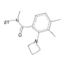 CCN(C)C(=O)c1ccc(C)c(C)c1N1CCC1